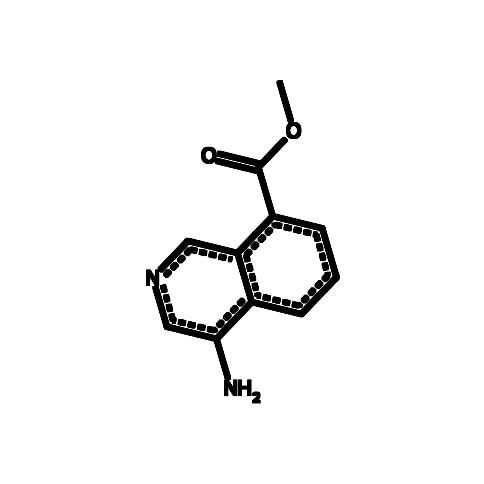 COC(=O)c1cccc2c(N)cncc12